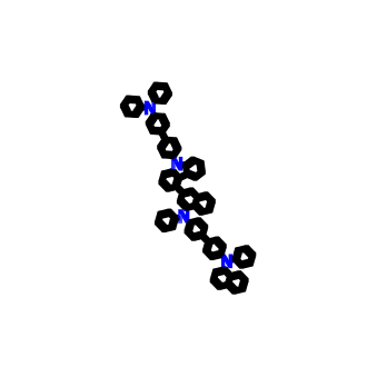 c1ccc(N(c2ccccc2)c2ccc(-c3ccc(-n4c5ccccc5c5c(-c6cc(N(c7ccccc7)c7ccc(-c8ccc(N(c9ccccc9)c9cccc%10ccccc9%10)cc8)cc7)c7ccccc7c6)cccc54)cc3)cc2)cc1